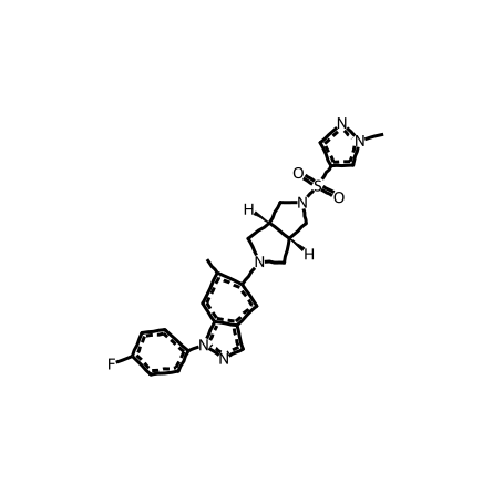 Cc1cc2c(cnn2-c2ccc(F)cc2)cc1N1C[C@@H]2CN(S(=O)(=O)c3cnn(C)c3)C[C@@H]2C1